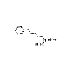 CCCCCCN(CCCCCC)CCCCCc1ccccc1